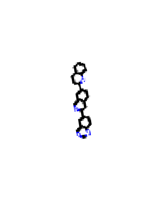 c1ccc2nc(-c3ccc4cc(-c5ccc6ncncc6c5)ncc4c3)ccc2c1